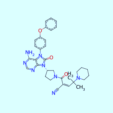 CC(C)(/C=C(/C#N)C(=O)N1CC[C@H](n2c(=O)n(-c3ccc(Oc4ccccc4)cc3)c3c(N)ncnc32)C1)N1CCCCC1